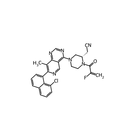 C=C(F)C(=O)N1CCN(c2ncnc3c(C)c(-c4cccc5cccc(Cl)c45)ncc23)C[C@@H]1CC#N